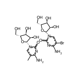 Cc1cn([C@@H]2O[C@H](CO)[C@@H](O)[C@H]2O)c(=O)nc1N.Nc1nc(=O)n([C@@H]2O[C@H](CO)[C@@H](O)[C@H]2O)cc1Br